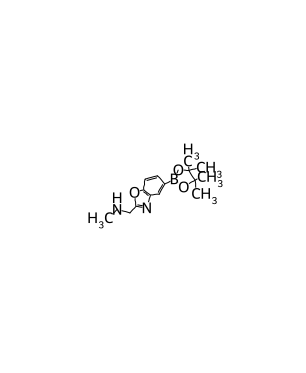 CNCc1nc2cc(B3OC(C)(C)C(C)(C)O3)ccc2o1